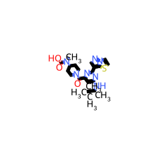 C[C@@H](Nc1cc(C(=O)N2CCC(N(C)C(=O)O)CC2)nc(-c2cnn3ccsc23)n1)C(C)(C)C